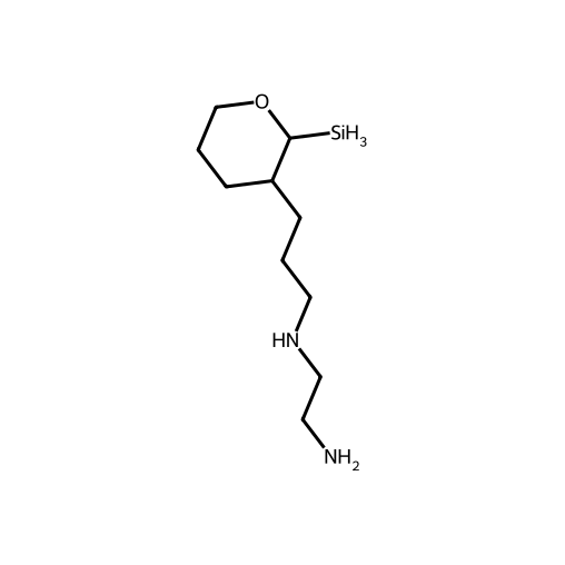 NCCNCCCC1CCCOC1[SiH3]